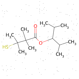 CC(C)C(OC(=O)C(C)(C)C(C)(C)S)C(C)C